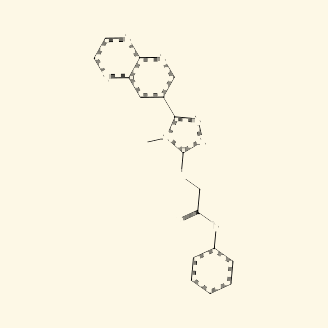 CCn1c(SCC(=O)Nc2ccccc2)nnc1-c1cnc2nccnc2c1